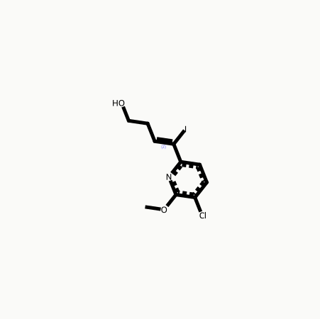 COc1nc(/C(I)=C/CCO)ccc1Cl